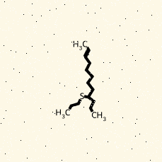 CC=CCCCCCC(CCC)SCCC